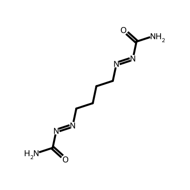 NC(=O)N=NCCCC/N=N/C(N)=O